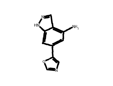 Nc1cc(-c2cnco2)cc2[nH]ncc12